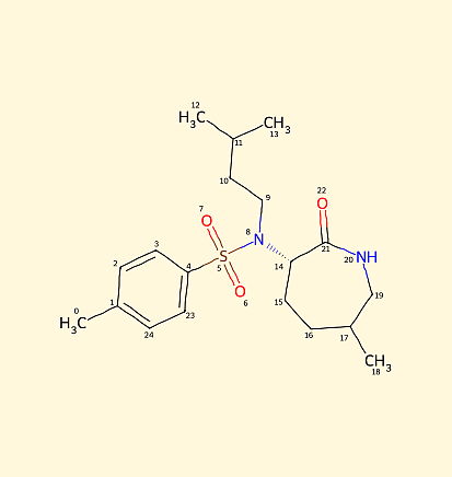 Cc1ccc(S(=O)(=O)N(CCC(C)C)[C@H]2CCC(C)CNC2=O)cc1